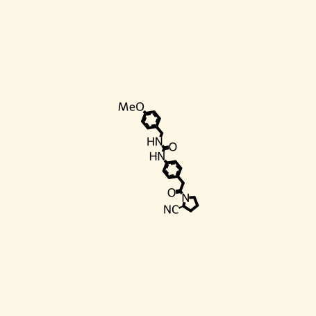 COc1ccc(CNC(=O)Nc2ccc(CC(=O)N3CCC[C@H]3C#N)cc2)cc1